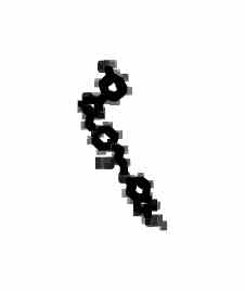 Cc1nc2ccc(OC[C@H](O)CN3CCN(Cc4noc(-c5cccc(Cl)c5)n4)CC3)cc2s1